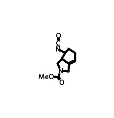 COC(=O)N1CC2=CCCC(N=C=O)C2C1